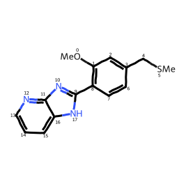 COc1cc(CSC)ccc1-c1nc2ncccc2[nH]1